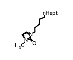 CCCCCCCCCCCCn1ccn(C)c1=O